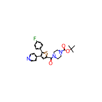 CC(C)(C)OC(=O)N1CCN(C(=O)c2cc(-c3ccncc3)c(-c3ccc(F)cc3)s2)CC1